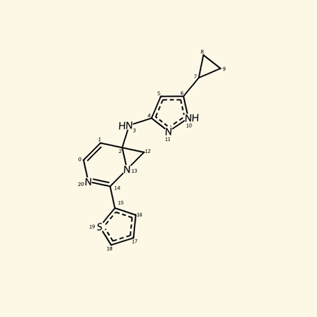 C1=CC2(Nc3cc(C4CC4)[nH]n3)CN2C(c2cccs2)=N1